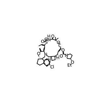 C=C1OC[C@]2(CCCc3cc(Cl)ccc32)CN2C[C@@H]3CC[C@H]3[C@@H](OC(=O)N3CC[C@@H](OCC)C3)/C=C/COC(C)(C)C(=O)NS(=O)(=O)C(=C/C)/C=C\12